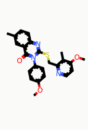 COc1ccc(-n2c(SCc3nccc(OC)c3C)nc3ccc(C)cc3c2=O)cc1